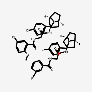 COc1ccc(Cl)cc1C(=O)NCC(=O)N[C@H]1C[C@H]2CC[C@@H](C1)N2Cc1ccc(Cl)cc1.O=C(CNC(=O)c1cccc(F)c1)N[C@H]1C[C@H]2CC[C@@H](C1)N2Cc1ccc(Cl)cc1